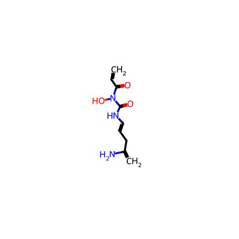 C=CC(=O)N(O)C(=O)N/C=C/CC(=C)N